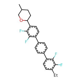 CCc1ccc(-c2ccc(-c3ccc(C4CCC(C)CO4)c(F)c3F)cc2)c(F)c1F